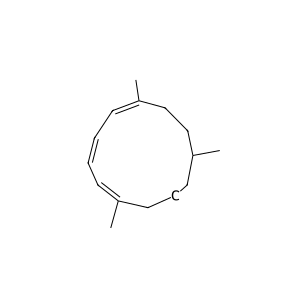 CC1=CC=CC=C(C)CCC(C)CCC1